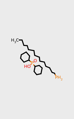 CCCCCCCCCCCCCCP.O=P(O)(C1CCCCC1)C1CCCCC1